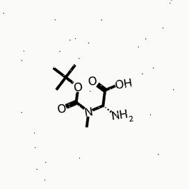 CN(C(=O)OC(C)(C)C)[C@@H](N)C(=O)O